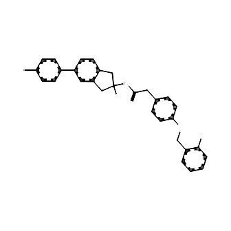 CCOC(=O)C1(NC(=O)Cc2ccc(OCc3ccccc3N)cc2)Cc2ccc(-c3ccc(Cl)cc3)cc2C1